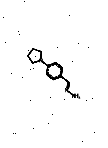 N/N=C/c1ccc(N2CCCC2)cc1